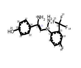 N/C(=C\N(N)c1ccc(F)cc1C(F)(F)F)c1ccc(O)cc1